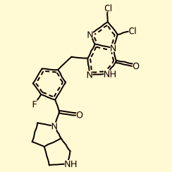 O=C(c1cc(Cc2n[nH]c(=O)n3c(Cl)c(Cl)nc23)ccc1F)N1CCC2CNCC21